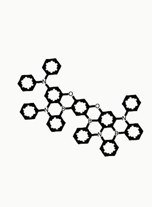 c1ccc(N(c2ccccc2)c2cc3c4c(c2)N(c2ccccc2)c2ccccc2B4c2cc4c(cc2O3)Oc2cc3c5c6c2B4c2ccccc2N6c2ccccc2B5c2ccccc2N3c2ccccc2)cc1